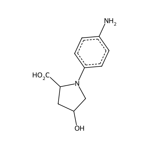 Nc1ccc(N2CC(O)CC2C(=O)O)cc1